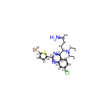 CCN(CC)C(CCC(C)N)c1nc(-c2ccc(Br)s2)nc2cc(Cl)ccc12